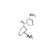 O=C(C1CCCC([N+](=O)[O-])C1)C1CCCC([N+](=O)[O-])C1